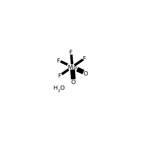 O.[O]=[Mo](=[O])([F])([F])([F])[F]